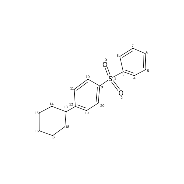 O=S(=O)(c1ccccc1)c1ccc(C2CCCCC2)cc1